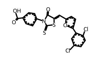 O=C(O)c1ccc(N2C(=O)C(=Cc3ccc(-c4cc(Cl)ccc4Cl)o3)SC2=S)cc1